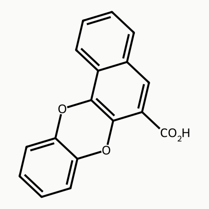 O=C(O)c1cc2ccccc2c2c1Oc1ccccc1O2